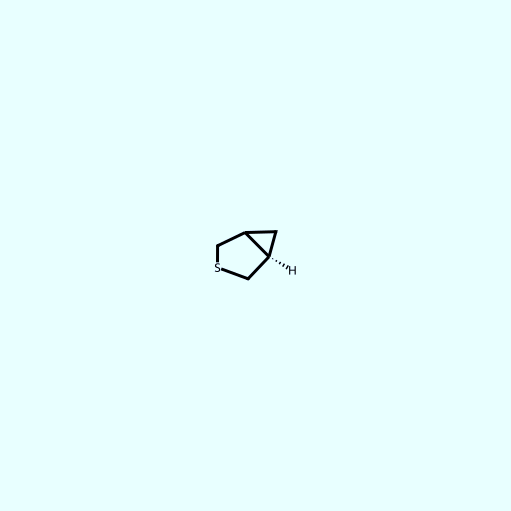 C1SC[C@@H]2CC12